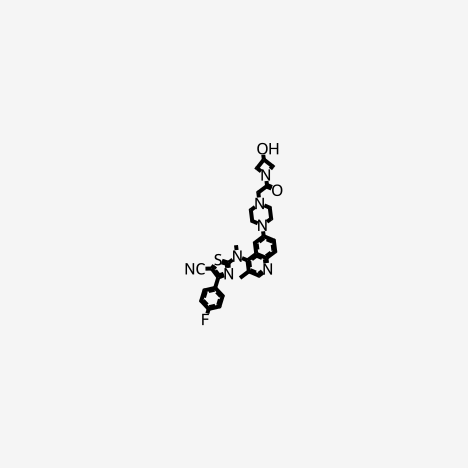 Cc1cnc2ccc(N3CCN(CC(=O)N4CC(O)C4)CC3)cc2c1N(C)c1nc(-c2ccc(F)cc2)c(C#N)s1